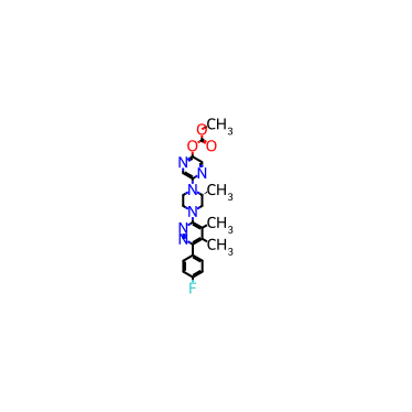 COC(=O)Oc1cnc(N2CCN(c3nnc(-c4ccc(F)cc4)c(C)c3C)C[C@H]2C)cn1